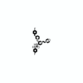 O=C(Nc1ccc(F)cc1)N[C@@H]1CCN(CCN2CCOCC2)C[C@H]1CN1CCC[C@@H](Cc2ccc(F)cc2)C1